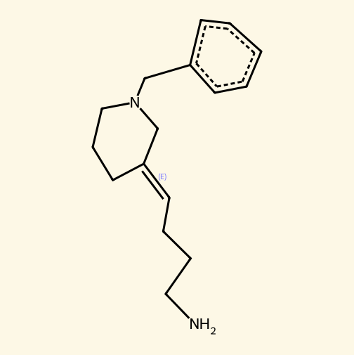 NCCC/C=C1\CCCN(Cc2ccccc2)C1